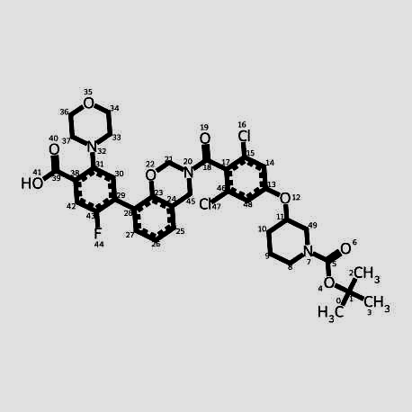 CC(C)(C)OC(=O)N1CCCC(Oc2cc(Cl)c(C(=O)N3COc4c(cccc4-c4cc(N5CCOCC5)c(C(=O)O)cc4F)C3)c(Cl)c2)C1